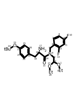 CCOC(CN(Cc1ccc(F)cc1F)C(=O)[C@@H](N)Cc1ccc(OC(C)(C)C)cc1)OCC